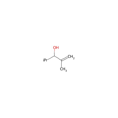 C=C(C)C(O)C(C)C